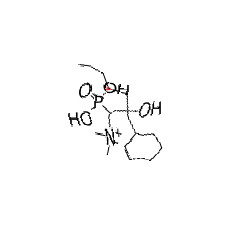 CCCCC(O)(C1CCCCC1)C([N+](C)(C)C)P(=O)(O)O